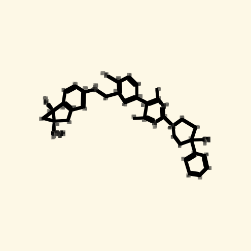 Cc1nc(N2CCC(C#N)(c3ccccc3)CC2)nc(C)c1-c1ccc(F)c(COc2ccc3c(c2)C[C@]2(C(=O)O)C[C@H]32)c1